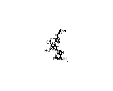 C#C[C@]1(COC(=O)CCCCCC)O[C@@H](n2cnc3c(N)nc(F)nc32)C[C@@H]1OC(=O)CCCCCCCCCCCCCC